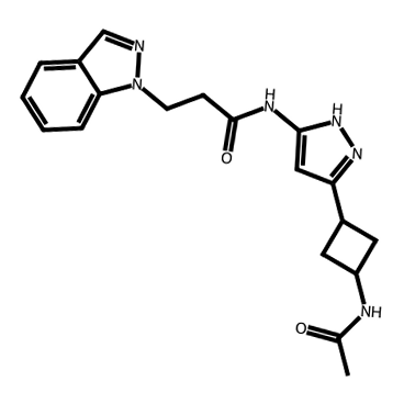 CC(=O)NC1CC(c2cc(NC(=O)CCn3ncc4ccccc43)[nH]n2)C1